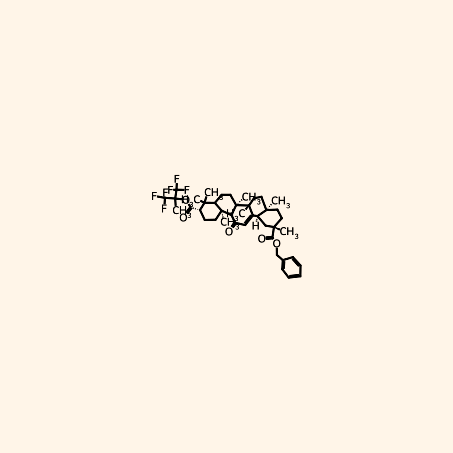 CC1(C)C2CC[C@]3(C)C(C(=O)C=C4[C@@H]5C[C@@](C)(C(=O)OCc6ccccc6)CC[C@]5(C)CC[C@]43C)[C@@]2(C)CC[C@@H]1C(=O)OC(C)(C(F)(F)F)C(F)(F)F